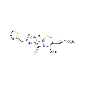 CCOC(=O)/C=C/C1=C(C(=O)O)N2C(=O)[C@](NC(=O)Cc3cccs3)(OC)[C@H]2SC1